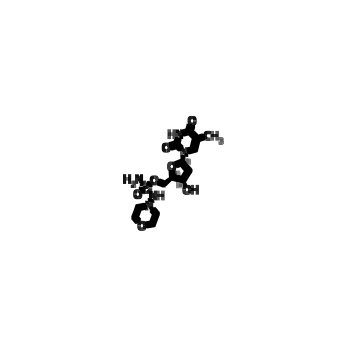 Cc1cn([C@H]2C[C@H](O)[C@@H](COP(N)(=O)NN3CCOCC3)O2)c(=O)[nH]c1=O